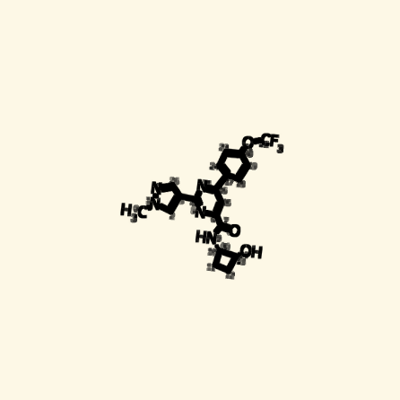 Cn1cc(-c2nc(C(=O)N[C@H]3CC[C@H]3O)cc(-c3ccc(OC(F)(F)F)cc3)n2)cn1